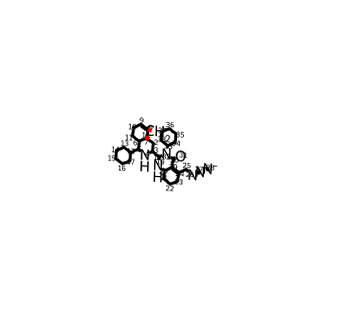 C=CCC(NC(C1CC=CCC1)C1CCCCC1)C1NC2CCCC(CN=[N+]=[N-])=C2C(=O)N1C1CCCCC1